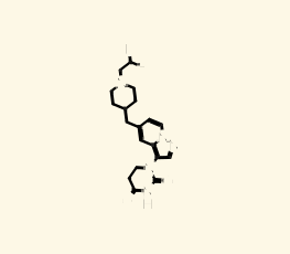 O=C1CCN(c2cnn3ccc(CC4CCN(CC(F)F)CC4)cc23)C(=O)N1